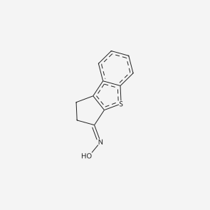 ON=C1CCc2c1sc1ccccc21